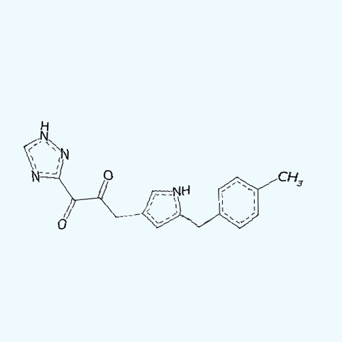 Cc1ccc(Cc2cc(CC(=O)C(=O)c3nc[nH]n3)c[nH]2)cc1